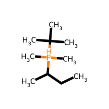 CCC(C)[PH](C)(C)C(C)(C)C